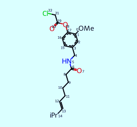 COc1cc(CNC(=O)CCCCC=CC(C)C)ccc1OC(=O)CCl